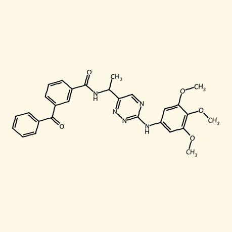 COc1cc(Nc2ncc(C(C)NC(=O)c3cccc(C(=O)c4ccccc4)c3)nn2)cc(OC)c1OC